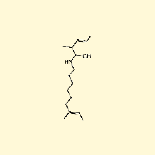 CC=CC(C)C(O)NCCCCCCC(C)=CC